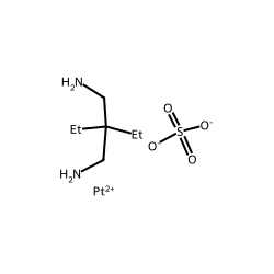 CCC(CC)(CN)CN.O=S(=O)([O-])[O-].[Pt+2]